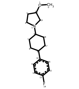 CO[C]1CCN(C2CCC(c3ccc(F)cc3)CC2)C1